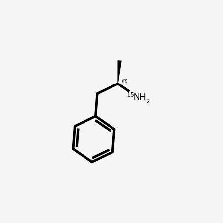 C[C@@H]([15NH2])Cc1ccccc1